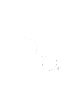 CC(=O)OCCN1[C@H](C)CNC[C@@H]1C